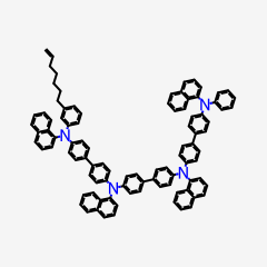 C=CCCCCCc1cccc(N(c2ccc(-c3ccc(N(c4ccc(-c5ccc(N(c6ccc(-c7ccc(N(c8ccccc8)c8cccc9ccccc89)cc7)cc6)c6cccc7ccccc67)cc5)cc4)c4cccc5ccccc45)cc3)cc2)c2cccc3ccccc23)c1